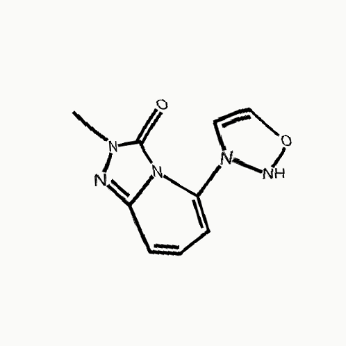 Cn1nc2cccc(N3C=CON3)n2c1=O